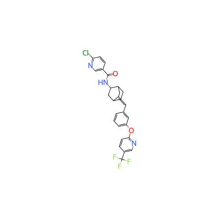 O=C(NC1CC2CCC1CC2=Cc1cccc(Oc2ccc(C(F)(F)F)cn2)c1)c1ccc(Cl)nc1